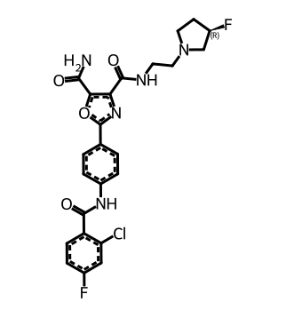 NC(=O)c1oc(-c2ccc(NC(=O)c3ccc(F)cc3Cl)cc2)nc1C(=O)NCCN1CC[C@@H](F)C1